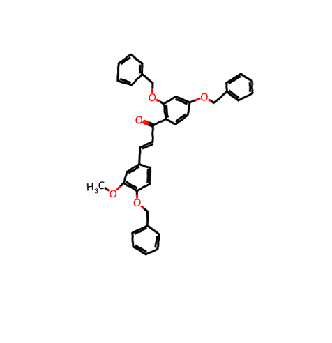 COc1cc(/C=C/C(=O)c2ccc(OCc3ccccc3)cc2OCc2ccccc2)ccc1OCc1ccccc1